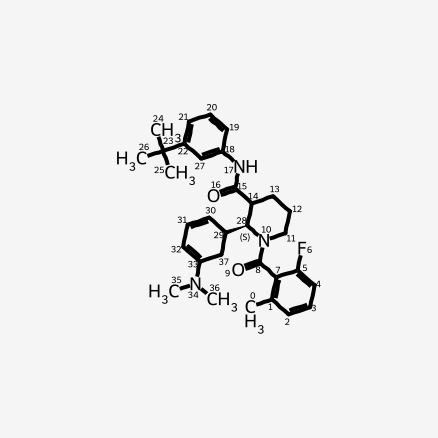 Cc1cccc(F)c1C(=O)N1CCCC(C(=O)Nc2cccc(C(C)(C)C)c2)[C@@H]1C1C=CC=C(N(C)C)C1